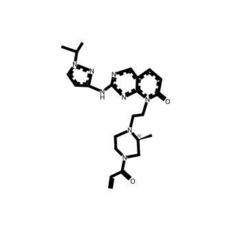 C=CC(=O)N1CCN(CCn2c(=O)ccc3cnc(Nc4ccn(C(C)C)n4)nc32)[C@@H](C)C1